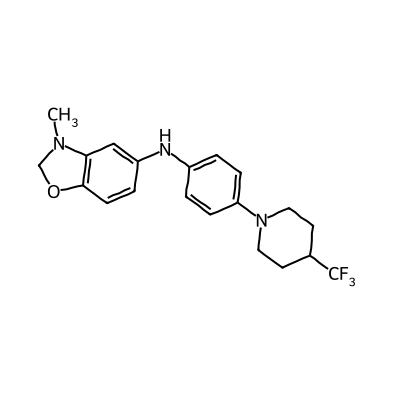 CN1COc2ccc(Nc3ccc(N4CCC(C(F)(F)F)CC4)cc3)cc21